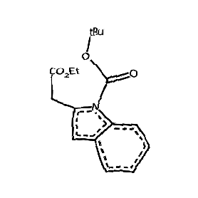 CCOC(=O)Cc1cc2ccccc2n1C(=O)OC(C)(C)C